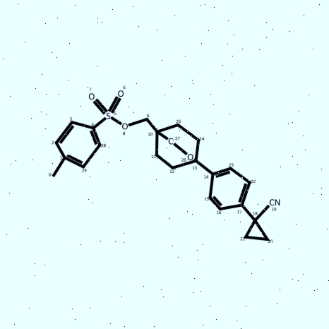 Cc1ccc(S(=O)(=O)OCC23CCC(c4ccc(C5(C#N)CC5)cc4)(CC2)OC3)cc1